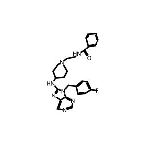 O=C(NCCN1CCC(Nc2nc3cncnc3n2Cc2ccc(F)cc2)CC1)c1ccccc1